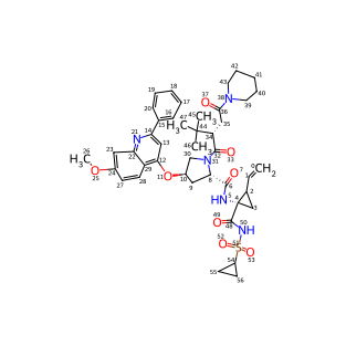 C=CC1C[C@@]1(NC(=O)[C@@H]1C[C@@H](Oc2cc(-c3ccccc3)nc3cc(OC)ccc23)CN1C(=O)[C@@H](CC(=O)N1CCCCC1)C(C)(C)C)C(=O)NS(=O)(=O)C1CC1